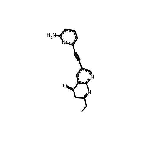 CCC1=Nc2ncc(C#Cc3cccc(N)n3)cc2C(=O)C1